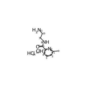 Cc1cccc(C(=O)NCCN)n1.Cl.Cl